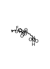 O=C1CN(CCCCCS(=O)(=O)NC2(c3ccc(F)c(OCC4CC4)c3)CCOC2)C(=O)N1